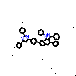 c1ccc(-c2cc(-c3ccc(-c4ccc5cc(-c6ccccc6)c6c(-c7ccccc7)nn(-c7ccccc7)c6c5c4)cc3)nc(-c3ccccc3)n2)cc1